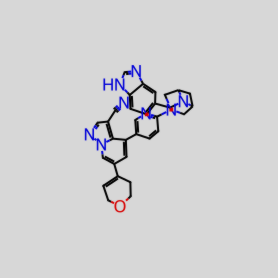 N#Cc1cnn2cc(C3=CCOCC3)cc(-c3ccc(N4CC5CC(C4)N5Cc4ccc5[nH]cnc5c4)nc3)c12